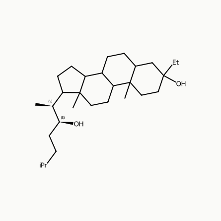 CCC1(O)CCC2(C)C(CCC3C2CCC2(C)C3CCC2[C@H](C)[C@@H](O)CCC(C)C)C1